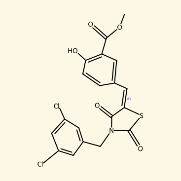 COC(=O)c1cc(/C=C2/SC(=O)N(Cc3cc(Cl)cc(Cl)c3)C2=O)ccc1O